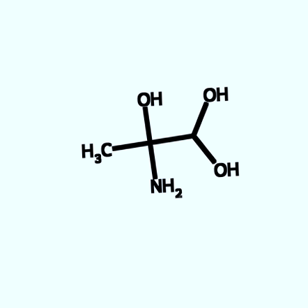 CC(N)(O)C(O)O